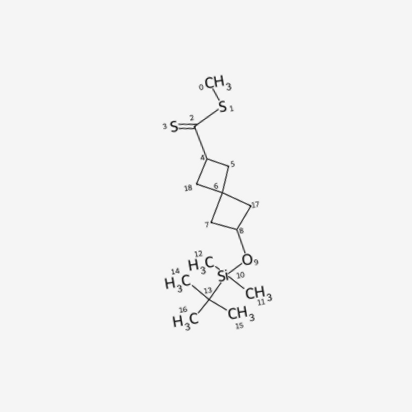 CSC(=S)C1CC2(CC(O[Si](C)(C)C(C)(C)C)C2)C1